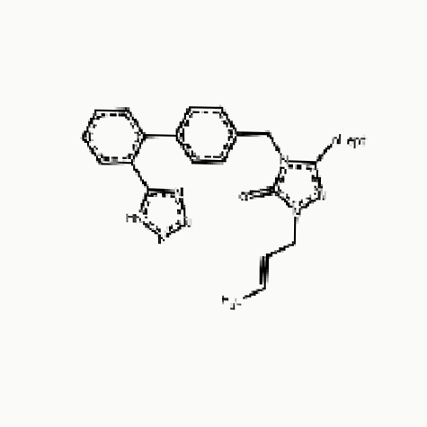 CC=CCn1nc(CCCCCCC)n(Cc2ccc(-c3ccccc3-c3nnn[nH]3)cc2)c1=O